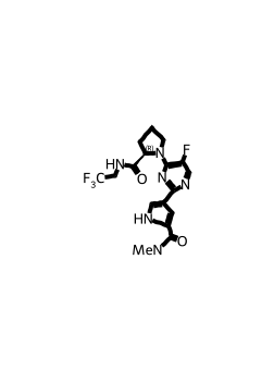 CNC(=O)c1cc(-c2ncc(F)c(N3CCC[C@@H]3C(=O)NCC(F)(F)F)n2)c[nH]1